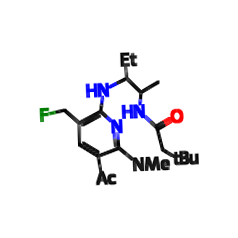 CCC(Nc1nc(NC)c(C(C)=O)cc1CF)C(C)NC(=O)CC(C)(C)C